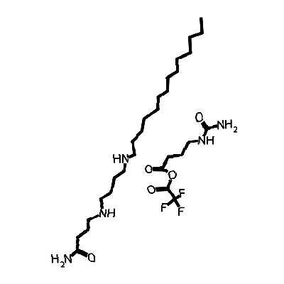 CCCCCCCCCCCCCCNCCCCNCCCC(N)=O.NC(=O)NCCCC(=O)OC(=O)C(F)(F)F